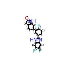 O=C1Cc2ccc(-c3cc(-c4nc5cc(F)c(F)cc5[nH]4)ccc3F)cc2N1